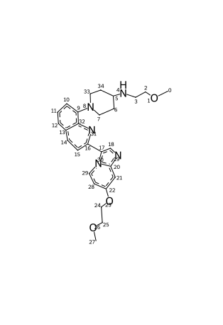 COCCNC1CCN(c2cccc3ccc(-c4cnc5cc(OCCOC)ccn45)nc23)CC1